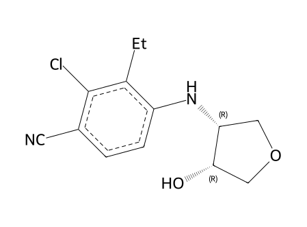 CCc1c(N[C@@H]2COC[C@@H]2O)ccc(C#N)c1Cl